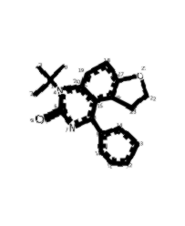 CC(C)(C)n1c(=O)nc(-c2ccccc2)c2c3c(ccc21)OCC3